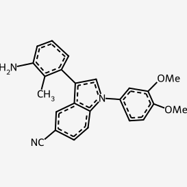 COc1ccc(-n2cc(-c3cccc(N)c3C)c3cc(C#N)ccc32)cc1OC